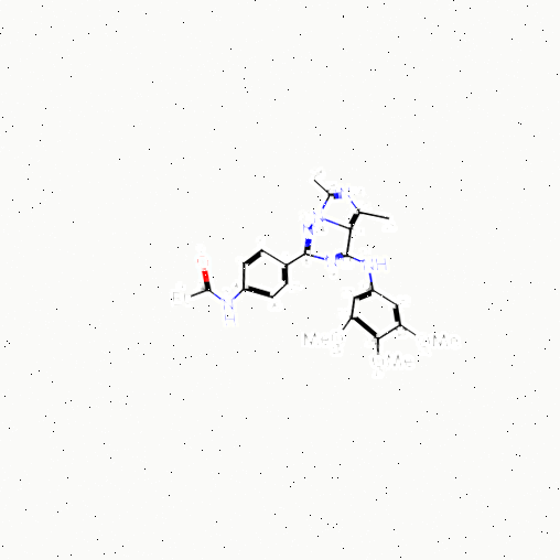 CCC(=O)Nc1ccc(-c2nc(Nc3cc(OC)c(OC)c(OC)c3)c3c(C)nc(C)n3n2)cc1